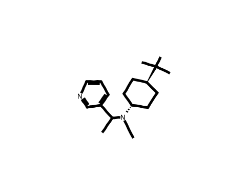 CC(c1cccnc1)N(C)[C@H]1CC[C@H](C(C)(C)C)CC1